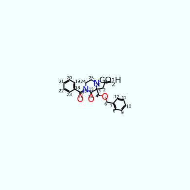 C=CCC1(COCc2ccccc2)C(=O)N(C(=O)c2ccccc2)CCN1C(=O)O